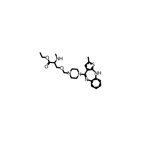 CCOC(=O)C(COCN1CCN(C2=Nc3ccccc3Nc3sc(C)cc32)CC1)NC